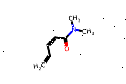 C=C/C=C\C(=O)N(C)C